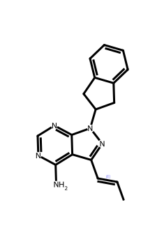 C/C=C/c1nn(C2Cc3ccccc3C2)c2ncnc(N)c12